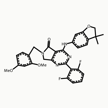 COc1ccc(CN2Cc3nc(-c4c(F)cccc4F)nc(Nc4ccc5c(c4)OCC5(C)C)c3C2=O)c(OC)c1